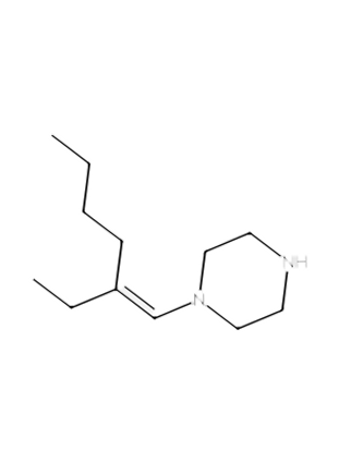 CCCCC(=CN1CCNCC1)CC